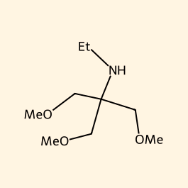 CCNC(COC)(COC)COC